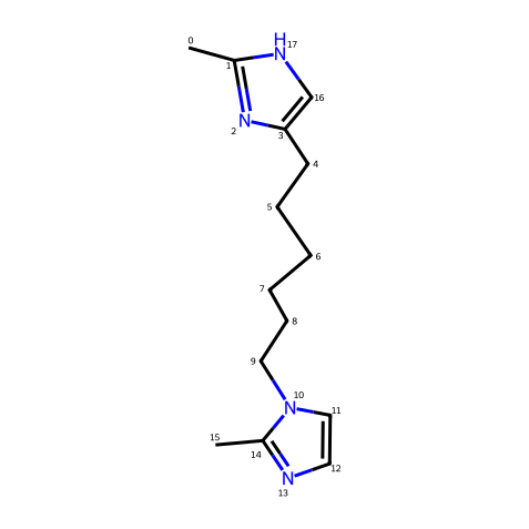 Cc1nc(CCCCCCn2ccnc2C)c[nH]1